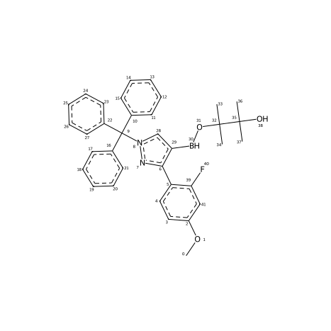 COc1ccc(-c2nn(C(c3ccccc3)(c3ccccc3)c3ccccc3)cc2BOC(C)(C)C(C)(C)O)c(F)c1